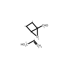 C=CC(=O)O.O=CC12CCC1O2